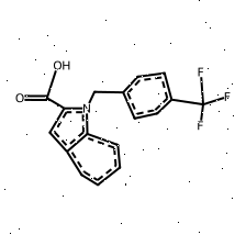 O=C(O)c1cc2ccccc2n1Cc1ccc(C(F)(F)F)cc1